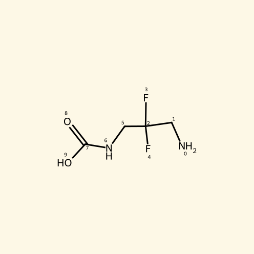 NCC(F)(F)CNC(=O)O